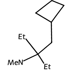 CCC(CC)(CC1CCC1)NC